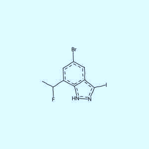 CC(F)c1cc(Br)cc2c(I)n[nH]c12